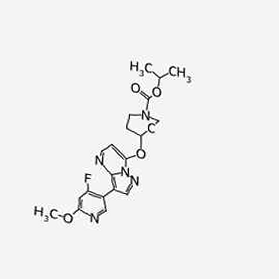 COc1cc(F)c(-c2cnn3c(OC4CCN(C(=O)OC(C)C)CC4)ccnc23)cn1